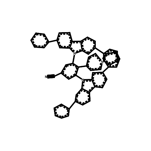 N#Cc1cc(-n2c3cc(-c4ccccc4)ccc3c3ccc(-c4ccccc4)cc32)c(-c2ccncc2)c(-n2c3cc(-c4ccccc4)ccc3c3ccc(-c4ccccc4)cc32)c1